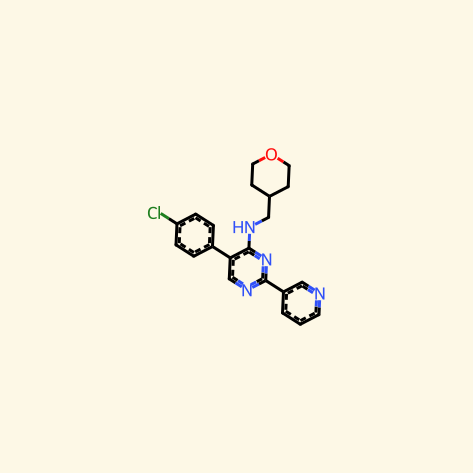 Clc1ccc(-c2cnc(-c3cccnc3)nc2NCC2CCOCC2)cc1